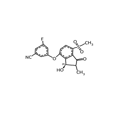 CC1C(=O)c2c(S(C)(=O)=O)ccc(Oc3cc(F)cc(C#N)c3)c2[C@@H]1O